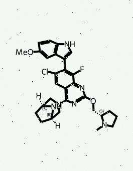 COc1ccc2[nH]cc(-c3c(Cl)cc4c(N5C[C@H]6CC[C@@H](C5)N6)nc(OC[C@@H]5CCCN5C)nc4c3F)c2c1